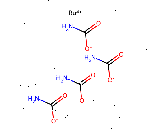 NC(=O)[O-].NC(=O)[O-].NC(=O)[O-].NC(=O)[O-].[Ru+4]